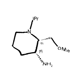 COC[C@@H]1[C@H](N)CCCN1C(C)C